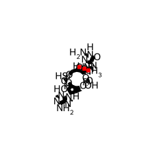 CO[C@H]1[C@H]2OP(=O)(O)OCC34C[C@@H]3[C@@H](n3cnc5c(N)ncnc53)[C@H](O)[C@@H]4O[P@](=O)(S)OC[C@H]1O[C@H]2n1nnc2c(=O)[nH]c(N)nc21